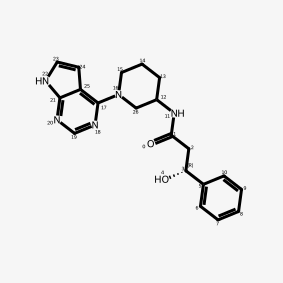 O=C(C[C@@H](O)c1ccccc1)NC1CCCN(c2ncnc3[nH]ccc23)C1